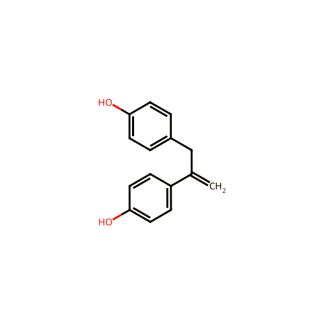 C=C(Cc1ccc(O)cc1)c1ccc(O)cc1